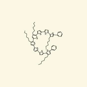 CCCCCCc1cc(-c2ccccc2)sc1-c1ccc(-c2ccc(-c3cc(CCCCCC)c(-c4cc(CCCCCC)c(-c5ccc(-c6ccc(-c7sc(-c8ccccc8)cc7CCCCCC)s6)s5)s4)s3)s2)s1